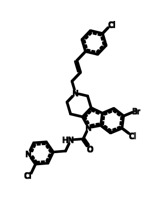 O=C(NCc1ccnc(Cl)c1)n1c2c(c3cc(Br)c(Cl)cc31)CN(C/C=C/c1ccc(Cl)cc1)CC2